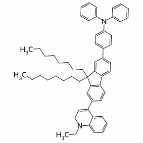 CCCCCCCCC1(CCCCCCCC)c2cc(C3=CCN(CC)c4ccccc43)ccc2-c2ccc(-c3ccc(N(c4ccccc4)c4ccccc4)cc3)cc21